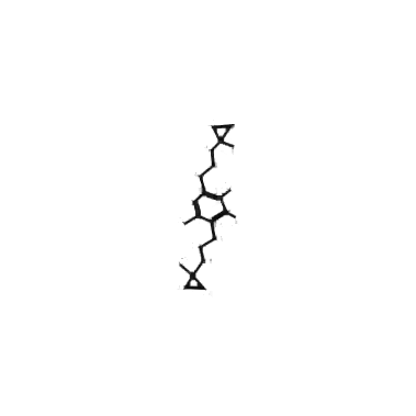 Cc1cc(CCCC2(C)CC2)c(C)c(C)c1CCCC1(C)CC1